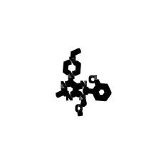 CCN1CCN(c2nc(C)nc3c2nc(-c2ccccc2Cl)n3COC)CC1